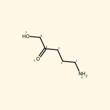 NCCCC(=O)CO